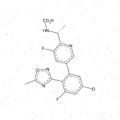 Cc1nc(-c2c(F)cc(Cl)cc2-c2cnc([C@@H](C)NC(=O)O)c(F)c2)no1